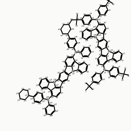 CC(C)(C)c1ccc(N(c2ccc(C(C)(C)C)cc2)c2ccc3c4cc5c(cc4n4c6ccccc6c2c34)c2ccc(N(c3ccc(C(C)(C)C)cc3)c3ccc(C(C)(C)CC4CCCC(c6ccc(N(c7ccccc7)c7ccc8c9cc%10c(cc9n9c%11ccccc%11c7c89)c7ccc(N(c8ccccc8)c8ccc(C9CCCCC9)cc8)c8c9ccccc9n%10c78)cc6)C4)cc3)c3c4ccccc4n5c23)cc1